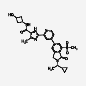 Cc1nc(-c2cc(-c3cc4c(c(S(C)(=O)=O)c3)C(=O)N(C(C)C3CC3)C4)ccn2)[nH]c1C(=O)NC1CC(O)C1